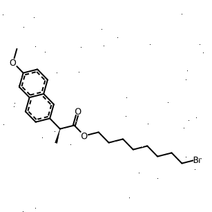 COc1ccc2cc([C@H](C)C(=O)OCCCCCCCCBr)ccc2c1